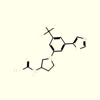 CC(=O)NC1CCN(c2cc(-c3cnco3)cc(C(F)(F)F)c2)C1